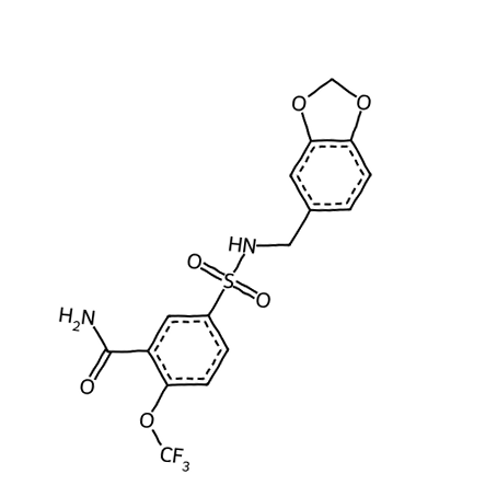 NC(=O)c1cc(S(=O)(=O)NCc2ccc3c(c2)OCO3)ccc1OC(F)(F)F